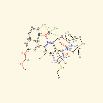 CCSc1nc2c3c(nc(-c4cc(OCOC)cc5ccc(F)c(OC(F)(F)F)c45)c(F)c3n1)CC[C@@H]1[C@@H]3CC[C@H](CN21)N3C(=O)OC(C)(C)C